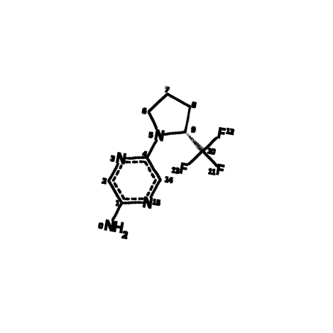 Nc1cnc(N2CCC[C@@H]2C(F)(F)F)cn1